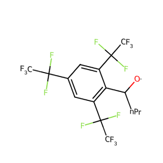 CCCC([O])c1c(C(F)(F)C(F)(F)F)cc(C(F)(F)C(F)(F)F)cc1C(F)(F)C(F)(F)F